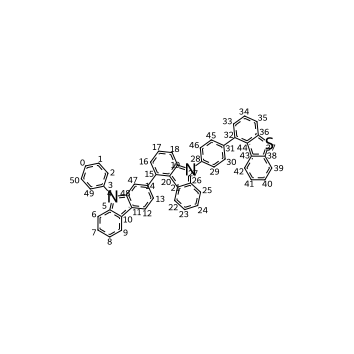 c1ccc(-n2c3ccccc3c3ccc(-c4cccc5c4c4ccccc4n5-c4ccc(-c5cccc6sc7ccccc7c56)cc4)cc32)cc1